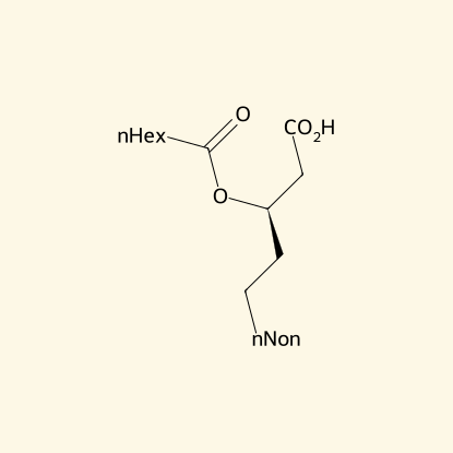 CCCCCCCCCCC[C@H](CC(=O)O)OC(=O)CCCCCC